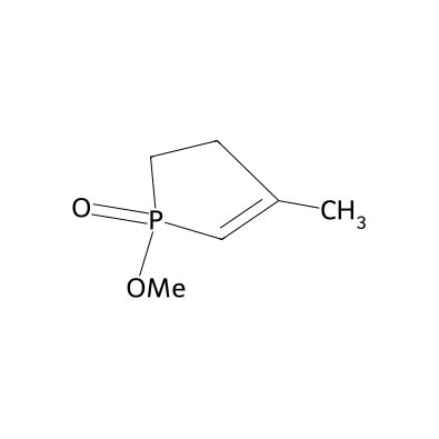 COP1(=O)C=C(C)CC1